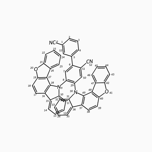 N#Cc1cccc(-c2cc(-n3c4ccccc4c4ccc5oc6ccccc6c5c43)c(-n3c4ccccc4c4ccc5oc6ccccc6c5c43)cc2C#N)c1